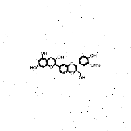 COc1cc([C@H]2Oc3cc(C4Oc5cc(O)cc(O)c5C[C@@H]4O)ccc3O[C@@H]2CO)ccc1O